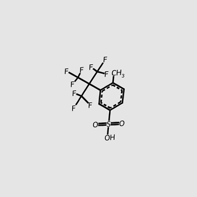 Cc1ccc(S(=O)(=O)O)cc1C(C(F)(F)F)(C(F)(F)F)C(F)(F)F